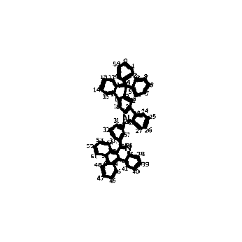 c1ccc(C2(c3ccccc3)c3ccccc3-c3cc4c(cc32)c2ccccc2n4-c2cccc(-c3nc4ccccc4c4c5ccccc5c5ccccc5c34)c2)cc1